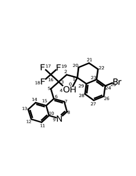 CC1(CC(O)(Cc2ccnc3ccccc23)C(F)(F)F)CCCc2c(Br)cccc21